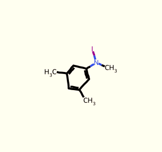 Cc1cc(C)cc(N(C)I)c1